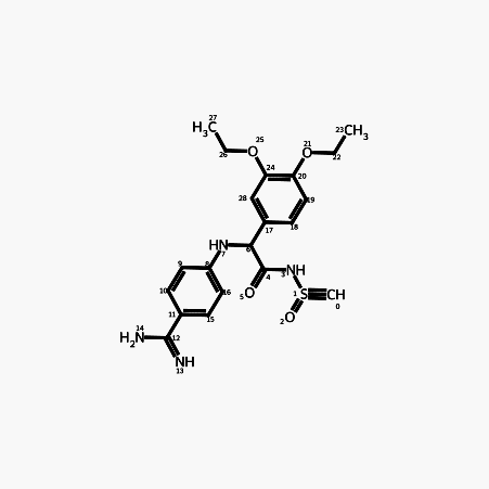 C#S(=O)NC(=O)C(Nc1ccc(C(=N)N)cc1)c1ccc(OCC)c(OCC)c1